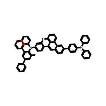 Fc1cc(-c2ccccc2)cc(-c2ccccc2)c1N(c1ccccc1)c1ccc2c(c1)Oc1cccc3c1c-2cc1ccc(-c2ccc(N(c4ccccc4)c4ccccc4)cc2)cc13